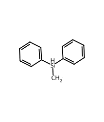 [CH2][SiH](c1ccccc1)c1ccccc1